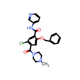 CN1CCN(C(=O)c2cc(OCc3ccccc3)c(C(=O)Nc3cccnc3)cc2Cl)CC1